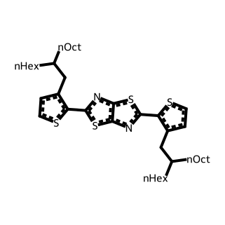 CCCCCCCCC(CCCCCC)Cc1ccsc1-c1nc2sc(-c3sccc3CC(CCCCCC)CCCCCCCC)nc2s1